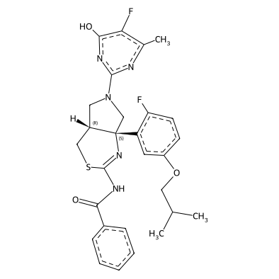 Cc1nc(N2C[C@H]3CSC(NC(=O)c4ccccc4)=N[C@@]3(c3cc(OCC(C)C)ccc3F)C2)nc(O)c1F